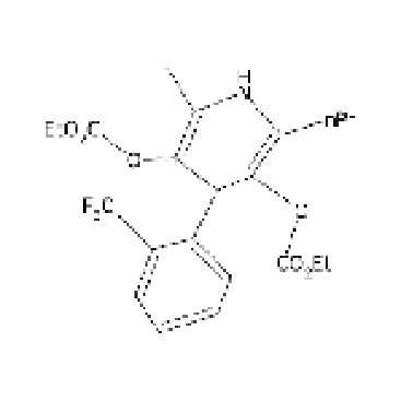 CCCC1=C(OC(=O)OCC)C(c2ccccc2C(F)(F)F)C(OC(=O)OCC)=C(C)N1